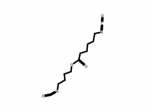 O=C=NCCCCCC(=O)OCCCCN=C=O